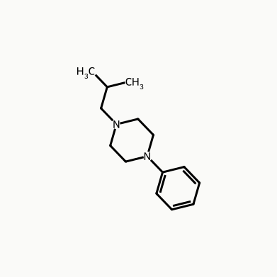 CC(C)CN1CCN(c2ccccc2)CC1